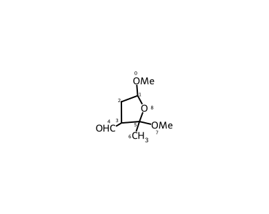 COC1CC(C=O)C(C)(OC)O1